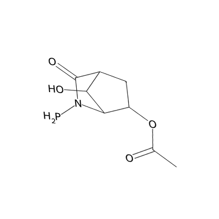 CC(=O)OC1CC2C(=O)N(P)C1C2O